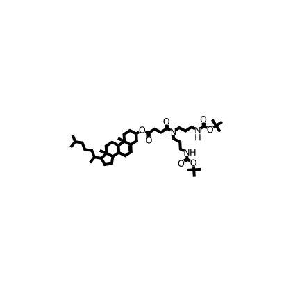 CC(C)CCCC(C)C1CCC2C3CC=C4CC(OC(=O)CCC(=O)N(CCCNC(=O)OC(C)(C)C)CCCNC(=O)OC(C)(C)C)CCC4(C)C3CCC12C